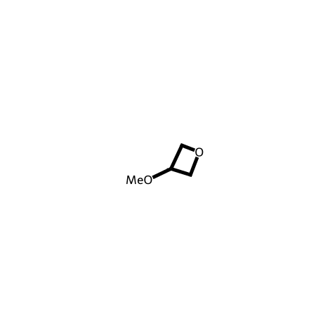 CO[C]1COC1